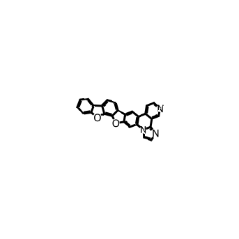 c1ccc2c(c1)oc1c2ccc2c3cc4c5ccncc5c5nccn5c4cc3oc21